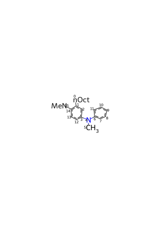 CCCCCCCCc1cc(N(C)c2ccccc2)ccc1NC